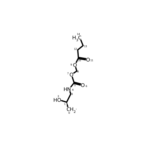 [CH2][C@@H](O)CNC(=O)OCOC(=O)CCC